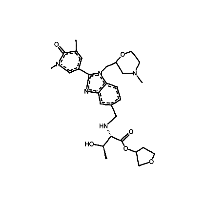 Cc1cc(-c2nc3cc(CN[C@H](C(=O)OC4CCOC4)[C@@H](C)O)ccc3n2CC2CN(C)CCO2)cn(C)c1=O